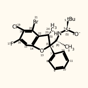 C[C@@H](N[S@+]([O-])C(C)(C)C)[C@]1(c2ccccc2)Oc2cc(F)c(Cl)c(Br)c2[C@@H]1C